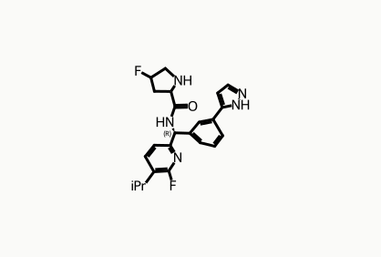 CC(C)c1ccc([C@H](NC(=O)C2CC(F)CN2)c2cccc(-c3ccn[nH]3)c2)nc1F